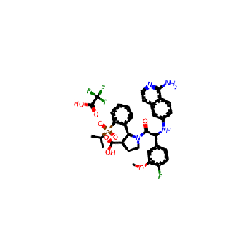 COc1cc(C(Nc2ccc3c(N)nccc3c2)C(=O)N2CCC(C(=O)O)C2c2ccccc2S(=O)(=O)C(C)C)ccc1F.O=C(O)C(F)(F)F